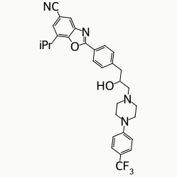 CC(C)c1cc(C#N)cc2nc(-c3ccc(CC(O)CN4CCN(c5ccc(C(F)(F)F)cc5)CC4)cc3)oc12